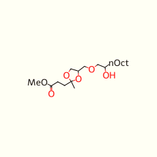 CCCCCCCCC(O)COCC1COC(C)(CCC(=O)OC)O1